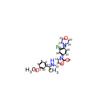 COc1cccc([C@H](C)NC[C@@H]2CN(c3ccc(N4CCOCC4)c(F)c3)C(=O)O2)c1